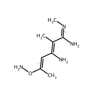 C\N=C(N)/C(C)=C(N)/C=C(\C)ON